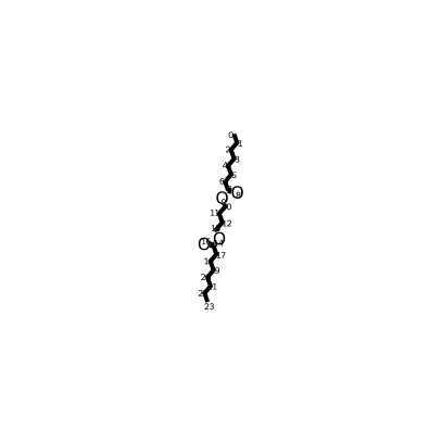 CCCCCCCC(=O)OCCCCOC(=O)CCCCCCC